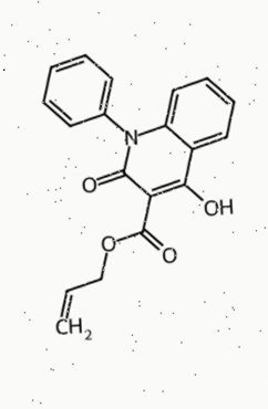 C=CCOC(=O)c1c(O)c2ccccc2n(-c2ccccc2)c1=O